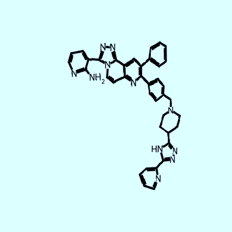 Nc1ncccc1-c1nnc2c3cc(-c4ccccc4)c(-c4ccc(CN5CCC(c6nnc(-c7ccccn7)[nH]6)CC5)cc4)nc3ccn12